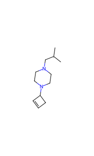 C[C](C)CN1CCN(C2C=CC2)CC1